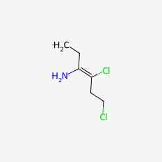 [CH2]CC(N)=C(Cl)CCCl